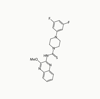 COc1nc2ccccc2nc1NC(=S)N1CCN(c2cc(F)cc(F)c2)CC1